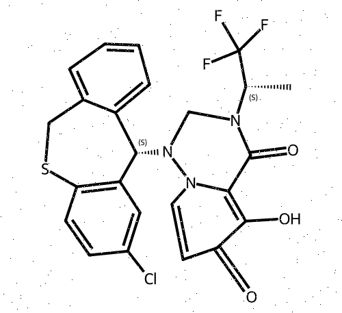 C[C@H](N1CN([C@H]2c3ccccc3CSc3ccc(Cl)cc32)n2ccc(=O)c(O)c2C1=O)C(F)(F)F